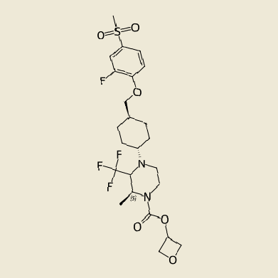 C[C@H]1C(C(F)(F)F)N([C@H]2CC[C@H](COc3ccc(S(C)(=O)=O)cc3F)CC2)CCN1C(=O)OC1COC1